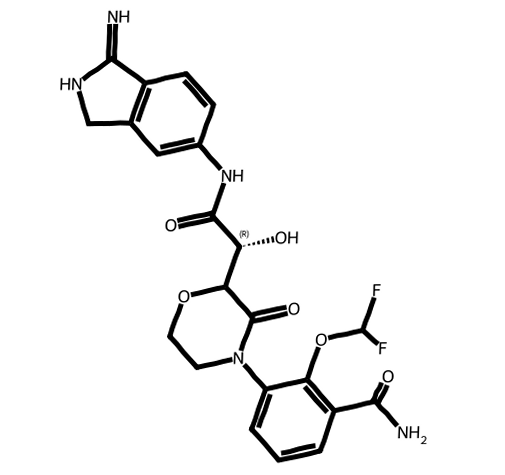 N=C1NCc2cc(NC(=O)[C@H](O)C3OCCN(c4cccc(C(N)=O)c4OC(F)F)C3=O)ccc21